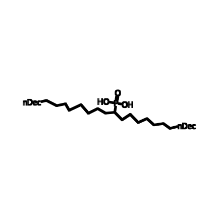 CCCCCCCCCCCCCCCCCCC(CCCCCCCCCCCCCCCCC)P(=O)(O)O